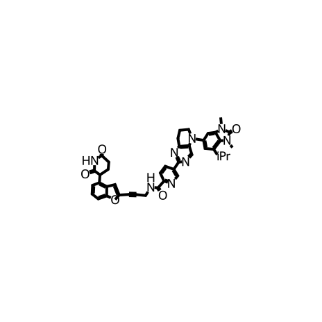 CC(C)c1cc(N2CCCc3nc(-c4ccc(C(=O)NCC#Cc5cc6c(C7CCC(=O)NC7=O)cccc6o5)nc4)ncc32)cc2c1n(C)c(=O)n2C